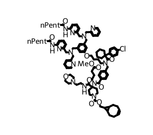 CCCCCC(=O)Nc1cccc(CN(Cc2cc(CN(Cc3ccccn3)Cc3cccc(NC(=O)CCCCC)n3)cc(OCCCCN(Cc3ccc(C(=O)N(CCCC(=O)OC)C4(C(=O)NCCN5CCOCC5)CCN(C(=O)OCC5C6CCC#CCCC65)CC4)cc3)C(=O)C3(c4ccc(Cl)cc4)CCCCC3)c2)Cc2ccccn2)n1